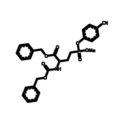 COP(=O)(CCC(NC(=O)OCc1ccccc1)C(=O)OCc1ccccc1)Oc1ccc(C#N)cc1